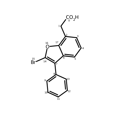 O=C(O)Cc1cccc2c(-c3ccccc3)c(Br)oc12